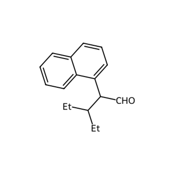 CCC(CC)C(C=O)c1cccc2ccccc12